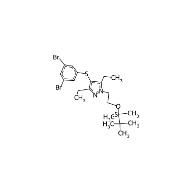 CCc1nn(CCO[Si](C)(C)C(C)(C)C)c(CC)c1Sc1cc(Br)cc(Br)c1